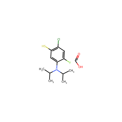 CC(C)N(c1cc(S)c(Cl)cc1F)C(C)C.O=CO